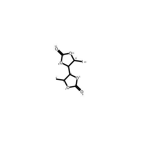 CC1OC(=O)OC1C1OC(=O)OC1I